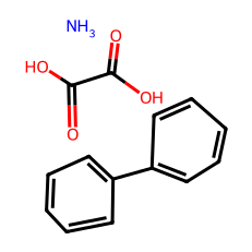 N.O=C(O)C(=O)O.c1ccc(-c2ccccc2)cc1